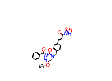 CC(C)OCCN(Cc1ccc(/C=C/C(=O)NO)cc1)C(=O)NC(=O)c1ccccc1